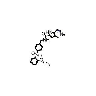 C=N/C=C\c1[nH]c(C(=O)NCc2ccc(S(=O)(=O)c3ccccc3OC(F)(F)F)cc2)cc1C